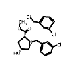 COC(=O)[C@@H]1C[C@@H](O)CN1Cc1cccc(Cl)c1.ClCc1cccc(Cl)c1